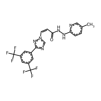 Cc1ccc(NNC(=O)/C=C\n2cnc(-c3cc(C(F)(F)F)cc(C(F)(F)F)c3)n2)nc1